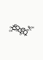 [C-]#[N+]C1=C[C@]2(C)[C@H]3CC(=O)[C@@H]4[C@@H]5CC(C)(C)CC[C@]5(COP(C)(=O)O)CC[C@@]4(C)[C@]3(C)CC[C@H]2C(C)(C)C1=O